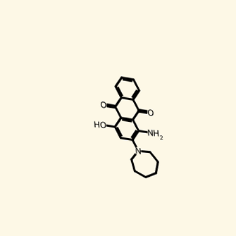 Nc1c(N2CCCCCC2)cc(O)c2c1C(=O)c1ccccc1C2=O